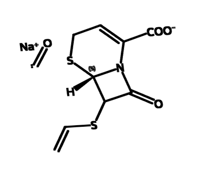 C=CSC1C(=O)N2C(C(=O)[O-])=CCS[C@@H]12.[C]=O.[Na+]